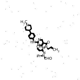 C=CCn1c(=O)c2cnc(Nc3ccc(C4CCN(C)CC4)cc3)nc2n1C(/C=C\C)=N/N(C=O)C(C)C